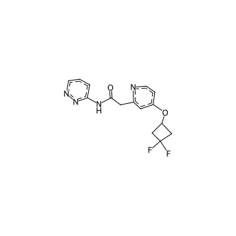 O=C(Cc1cc(OC2CC(F)(F)C2)ccn1)Nc1cccnn1